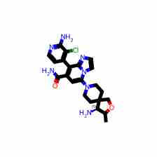 CC1OCC2(CCN(c3cc(C(N)=O)c(-c4ccnc(N)c4Cl)c4nccn34)CC2)[C@@H]1N